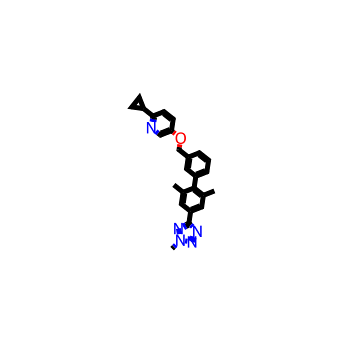 Cc1cc(-c2nnn(C)n2)cc(C)c1-c1cccc(COc2ccc(C3CC3)nc2)c1